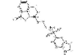 O=C1CC2c3c(cccc31)CCN2CCCNS(=O)(=O)c1ccc2c(c1)CCO2